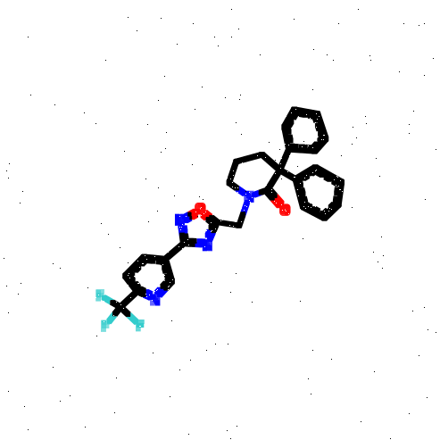 O=C1N(Cc2nc(-c3ccc(C(F)(F)F)nc3)no2)CCCC1(c1ccccc1)c1ccccc1